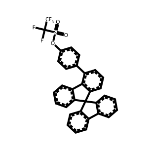 O=S(=O)(Oc1ccc(-c2cccc3c2-c2ccccc2C32c3ccccc3-c3ccccc32)cc1)C(F)(F)C(F)(F)F